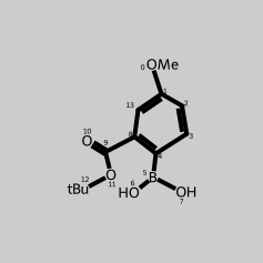 COc1ccc(B(O)O)c(C(=O)OC(C)(C)C)c1